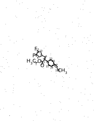 CCOC(=O)C(=CC1CC(F)C(F)C1)c1ccc(SCC)cc1